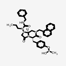 CCCN(C(=O)NCc1ccccc1)N1CC(=O)N2[C@@H](Cc3ccc(OP(C)O)cc3)C(=O)N(Cc3cccc4ccccc34)C[C@@H]21